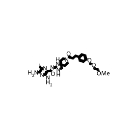 COCCOCOc1ccc(CCC(=O)N2CCC3(CC2)CN/C(=N\C(=O)c2nc(I)c(N)nc2N)N3)cc1